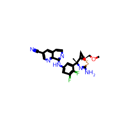 COC[C@]12C[C@H]1[C@@](C)(c1cc(Nc3nccc4cc(C#N)cnc34)cc(F)c1F)N=C(N)S2